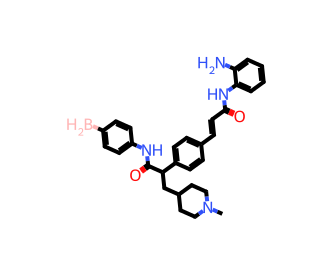 Bc1ccc(NC(=O)C(CC2CCN(C)CC2)c2ccc(/C=C/C(=O)Nc3ccccc3N)cc2)cc1